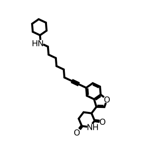 O=C1CCC(c2coc3ccc(C#CCCCCCCNC4CCCCC4)cc23)C(=O)N1